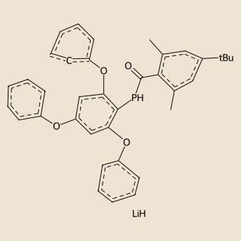 Cc1cc(C(C)(C)C)cc(C)c1C(=O)Pc1c(Oc2ccccc2)cc(Oc2ccccc2)cc1Oc1ccccc1.[LiH]